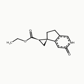 CCOC(=O)[C@@H]1C[C@]12CCc1c[nH]c(=O)cc12